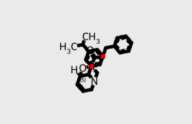 CC(C)c1cccc(C2[C@@H]3C=CCN2CN(C(=O)CCc2ccccc2)O3)c1